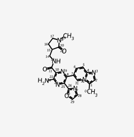 Cc1cnc2ccc(-c3nc(C(=O)NCC4CCN(C)C4=O)c(N)nc3-c3ncco3)cn12